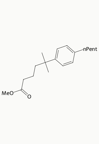 CCCCCc1ccc(C(C)(C)CCCC(=O)OC)cc1